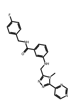 Cn1c(CNc2cccc(C(=O)NCc3ccc(F)cc3)c2)nnc1-c1ccncn1